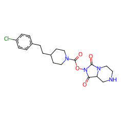 O=C(ON1C(=O)C2CNCCN2C1=O)N1CCC(CCc2ccc(Cl)cc2)CC1